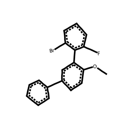 COc1ccc(-c2ccccc2)cc1-c1c(F)cccc1Br